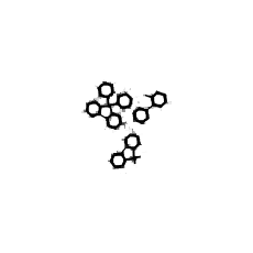 Cc1ccccc1-c1ccc(N(c2ccc3c(c2)-c2ccccc2C3(C)C)c2ccc3c(c2)C(c2ccccc2)(c2ccccc2)c2ccccc2-3)cc1